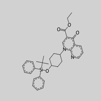 CCOC(=O)c1cn(C2CCC(O[Si](c3ccccc3)(c3ccccc3)C(C)(C)C)CC2)c2ncccc2c1=O